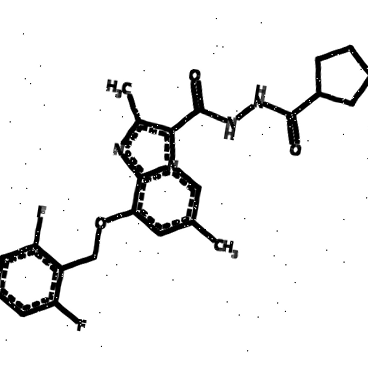 Cc1cc(OCc2c(F)cccc2F)c2nc(C)c(C(=O)NNC(=O)C3CCCC3)n2c1